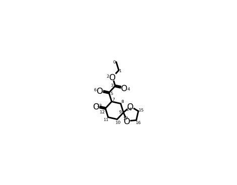 CCOC(=O)C(=O)C1CC2(CCC1=O)OCCO2